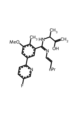 C=C(O)C(C)N/C(=N/C=C/CCC)c1cc(-c2ccc(F)cn2)cc(OC)c1C